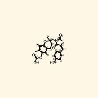 Cc1c(C)c2c(c(C)c1OC(=O)O)CCC(C)(CN1C(=O)SC(=Cc3ccc(O)cc3)C1=O)O2